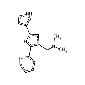 CN(C)Cc1cn(-c2cc[nH]c2)nc1-c1ccccc1